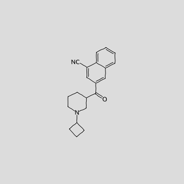 N#Cc1cc(C(=O)C2CCCN(C3CCC3)C2)cc2ccccc12